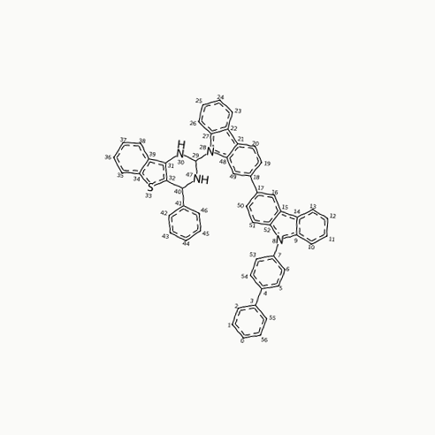 c1ccc(-c2ccc(-n3c4ccccc4c4cc(-c5ccc6c7ccccc7n(C7Nc8c(sc9ccccc89)C(c8ccccc8)N7)c6c5)ccc43)cc2)cc1